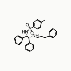 Cc1ccc(S(=O)(=O)N[C@H](c2ccccc2)[C@H](NCCCc2ccccc2)c2ccccc2)cc1